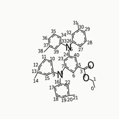 CCOC(=O)c1cc(N(c2cccc(C)c2)c2cccc(C)c2)cc(N(c2cccc(C)c2)c2cccc(C)c2)c1